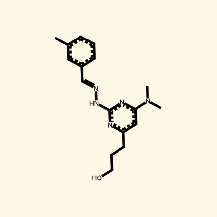 Cc1cccc(/C=N/Nc2nc(CCCO)cc(N(C)C)n2)c1